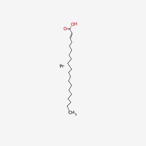 CCCCCCCCCCCCCCCCCC=CC(=O)O.[Pr]